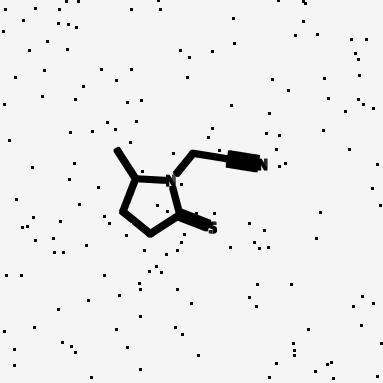 CC1CCC(=S)N1CC#N